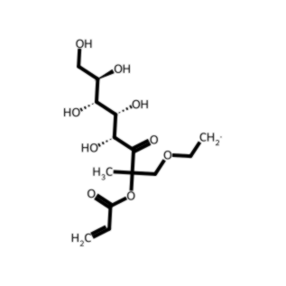 [CH2]COCC(C)(OC(=O)C=C)C(=O)[C@H](O)[C@@H](O)[C@H](O)[C@H](O)CO